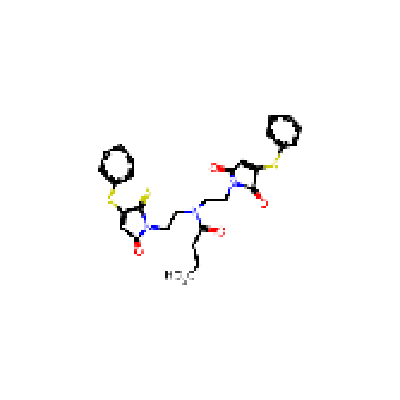 O=C(O)CCC(=O)N(CCN1C(=O)C=C(Sc2ccccc2)C1=O)CCN1C(=O)C=C(Sc2ccccc2)C1=S